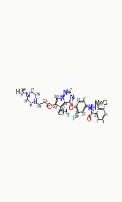 COc1ccccc1C(=O)Nc1ccc(Oc2ncnn3cc(OCCN4CCN(C)CC4)c(C)c23)c(F)c1